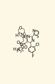 COC(=O)CC1CC2COC[C@@H](C1)N2CC1=C(C(=O)OC)C(c2ccc(F)cc2Cl)N=C(c2nccs2)N1